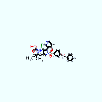 CC(C)(C)C(Cc1cn(S(=O)(=O)c2ccc(OCc3ccccc3)cc2)c(-c2cccnc2F)c1F)NC(=O)O